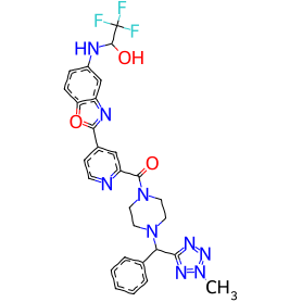 Cn1nnc(C(c2ccccc2)N2CCN(C(=O)c3cc(-c4nc5cc(NC(O)C(F)(F)F)ccc5o4)ccn3)CC2)n1